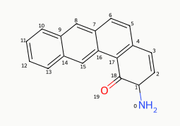 NC1C=Cc2ccc3cc4ccccc4cc3c2C1=O